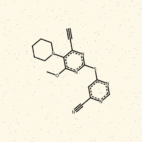 C#Cc1nc(Sc2cc(C#N)ncn2)nc(OC)c1N1CCCCC1